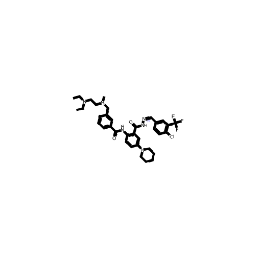 CCN(CC)CCN(C)Cc1cccc(C(=O)Nc2ccc(N3CCCCC3)cc2C(=O)N/N=C\c2ccc(Cl)c(C(F)(F)F)c2)c1